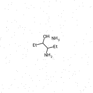 CCC(N)C(O)CC.N